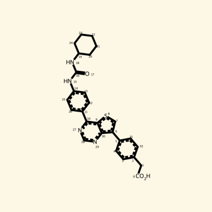 O=C(O)Cc1ccc(-c2csc3c(-c4ccc(NC(=O)NC5CCCCC5)cc4)ncnc23)cc1